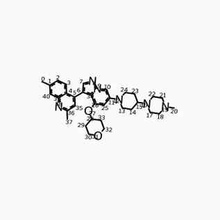 Cc1ccc2c(-c3cnn4cc(N5CCC(N6CCN(C)CC6)CC5)cc(OC5CCOCC5)c34)cc(C)nc2c1